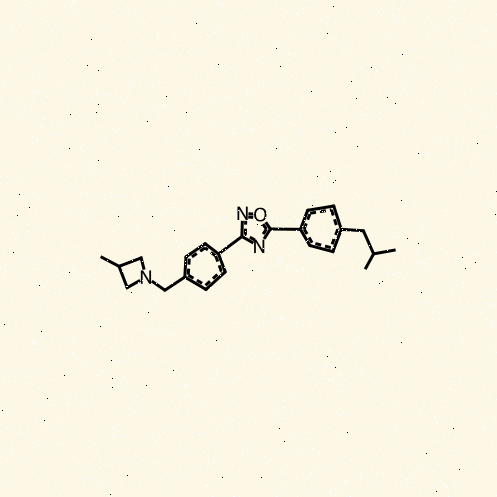 CC(C)Cc1ccc(-c2nc(-c3ccc(CN4CC(C)C4)cc3)no2)cc1